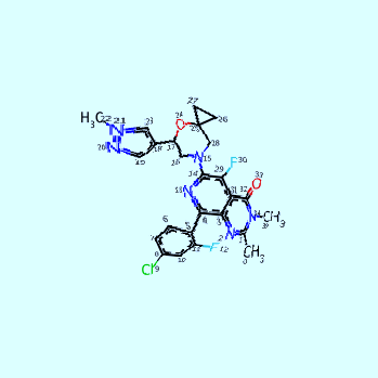 Cc1nc2c(-c3ccc(Cl)cc3F)nc(N3CC(c4cnn(C)c4)OC4(CC4)C3)c(F)c2c(=O)n1C